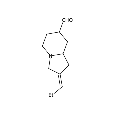 CCC=C1CC2CC(C=O)CCN2C1